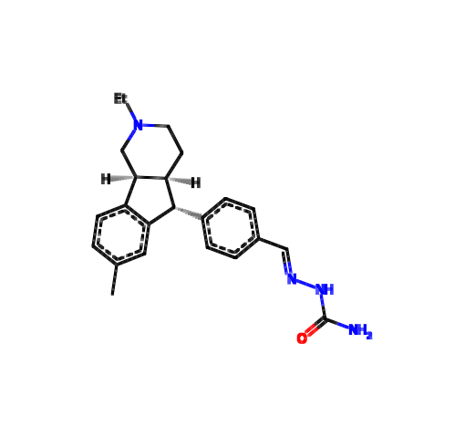 CCN1CC[C@H]2[C@H](c3ccc(/C=N/NC(N)=O)cc3)c3cc(C)ccc3[C@H]2C1